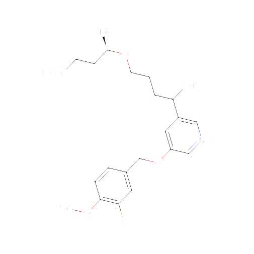 CC[C@H](CCC(=O)O)OCCCC(C)c1cncc(OCc2ccc(OC(F)(F)F)c(F)c2)c1